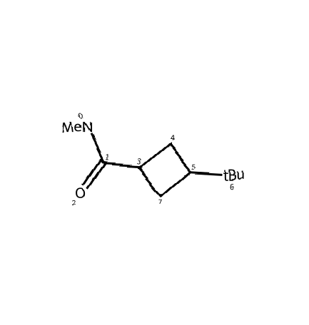 CNC(=O)C1CC(C(C)(C)C)C1